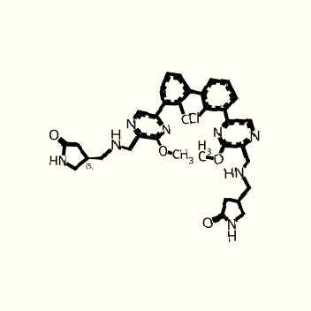 COc1nc(-c2cccc(-c3cccc(-c4cnc(CNC[C@H]5CNC(=O)C5)c(OC)n4)c3Cl)c2Cl)cnc1CNCC1CNC(=O)C1